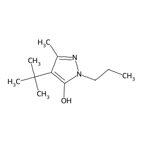 CCCn1nc(C)c(C(C)(C)C)c1O